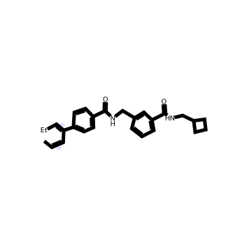 C/C=C\C(=C/CC)c1ccc(C(=O)NCc2cccc(C(=O)NCC3CCC3)c2)cc1